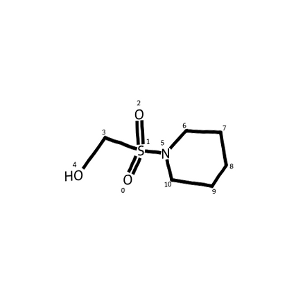 O=S(=O)(CO)N1CCCCC1